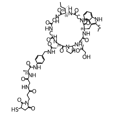 CC[C@H](C)[C@@H]1NC(=O)CNC(=O)[C@@H](Cc2c(SC)[nH]c3ccccc23)NC(=O)[C@H](C[C@@H](O)CO)NC2CCCN2C(=O)[C@H](CC(=O)NCc2ccc(NC(=O)[C@H](C)NC(=O)CNC(=O)CCN3C(=O)CC(S)C3=O)cc2)NC(=O)CNC(=O)CNC1=O